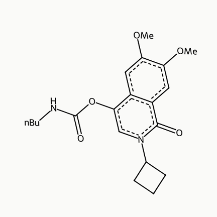 CCCCNC(=O)Oc1cn(C2CCC2)c(=O)c2cc(OC)c(OC)cc12